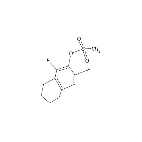 CS(=O)(=O)Oc1c(F)cc2c(c1F)CCCC2